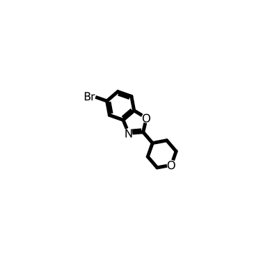 Brc1ccc2oc(C3CCOCC3)nc2c1